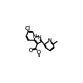 COC(=O)c1c(-c2cccc(C)n2)nn2cc(Cl)ccc12